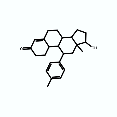 Cc1ccc(C2CC3(C)C(O)CCC3C3CCC4=CC(=O)CCC4C23)cc1